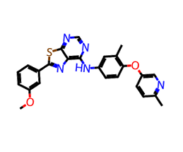 COc1cccc(-c2nc3c(Nc4ccc(Oc5ccc(C)nc5)c(C)c4)ncnc3s2)c1